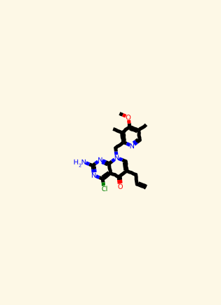 C=CCc1cn(Cc2ncc(C)c(OC)c2C)c2nc(N)nc(Cl)c2c1=O